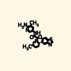 Cc1cc(NC(=O)C(=O)N2C[C@@H](C)CC[C@H]2c2ccc3scnc3c2)cnc1N